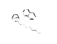 CCCCCCCCC1Nc2ccc1cc2.c1ccc2ccccc2c1